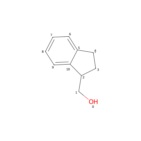 OCC1C[CH]c2ccccc21